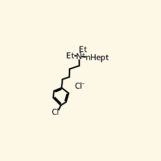 CCCCCCC[N+](CC)(CC)CCCCc1ccc(Cl)cc1.[Cl-]